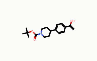 C=C(O)c1ccc(C2CCN(C(=O)OC(C)(C)C)CC2)cc1